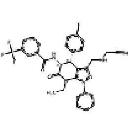 CCN1C(=O)[C@H](NC(=O)c2cccc(C(F)(F)F)c2)[C@H](c2ccc(F)cc2)c2c(CNCC#N)nn(-c3ccccc3)c21